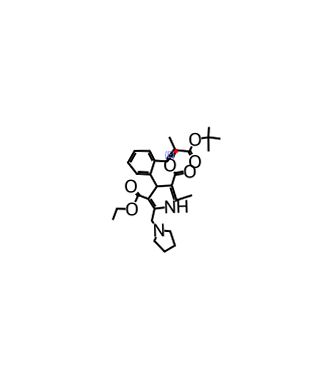 CCOC(=O)C1=C(C)NC(CN2CCCC2)=C(C(=O)OCC)C1c1ccccc1/C=C/C(=O)OC(C)(C)C